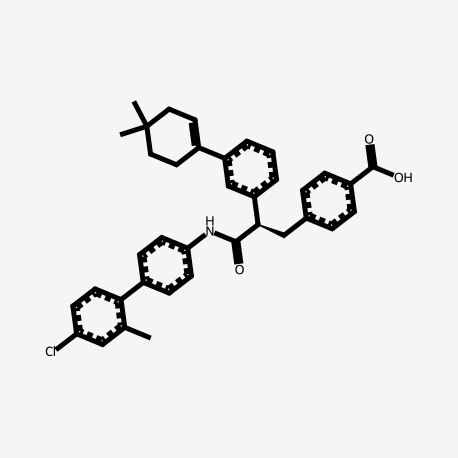 Cc1cc(Cl)ccc1-c1ccc(NC(=O)[C@H](Cc2ccc(C(=O)O)cc2)c2cccc(C3=CCC(C)(C)CC3)c2)cc1